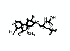 Cc1nccc2c1c(=O)n(C)c1cc(OCC(CC=C(F)F)NC(=O)O)c(Br)cc21